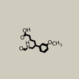 COc1cccc(C(CCCC(=O)O)CNC=O)c1